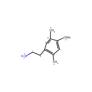 COc1cc(C)c(CCN)cc1C